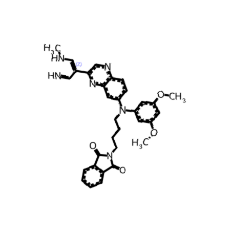 CN/C=C(\C=N)c1cnc2ccc(N(CCCCN3C(=O)c4ccccc4C3=O)c3cc(OC)cc(OC)c3)cc2n1